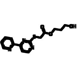 O=C(CSc1nccc(-c2ccccn2)n1)OCCCO